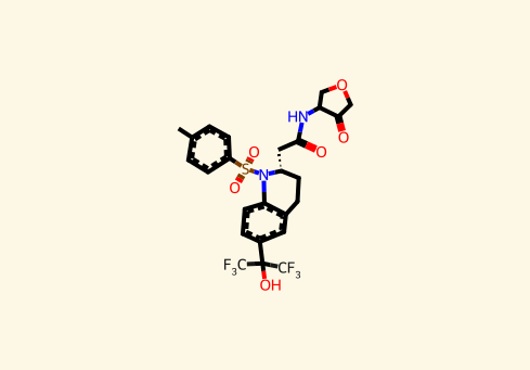 Cc1ccc(S(=O)(=O)N2c3ccc(C(O)(C(F)(F)F)C(F)(F)F)cc3CC[C@H]2CC(=O)NC2COCC2=O)cc1